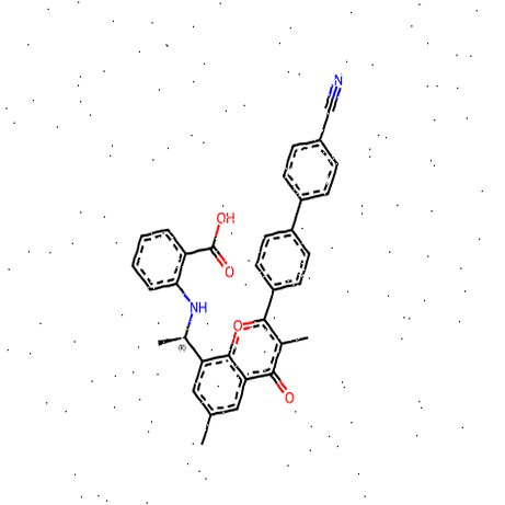 Cc1cc([C@@H](C)Nc2ccccc2C(=O)O)c2oc(-c3ccc(-c4ccc(C#N)cc4)cc3)c(C)c(=O)c2c1